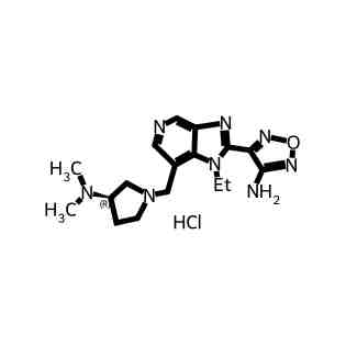 CCn1c(-c2nonc2N)nc2cncc(CN3CC[C@@H](N(C)C)C3)c21.Cl